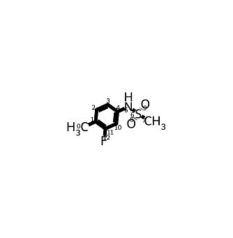 Cc1ccc(NS(C)(=O)=O)cc1F